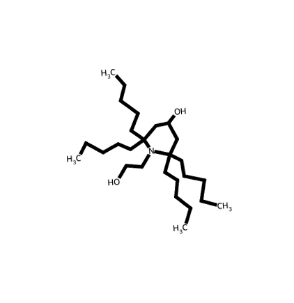 CCCCCC1(CCCCC)CC(O)CC(CCCCC)(CCCCC)N1CCO